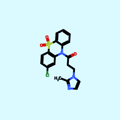 Cc1nccn1CCC(=O)N1c2ccccc2S(=O)(=O)c2ccc(Cl)cc21